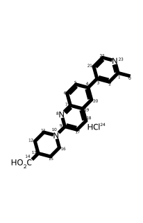 Cc1cc(-c2ccc3nc(N4CCC(C(=O)O)CC4)ccc3c2)ccn1.Cl